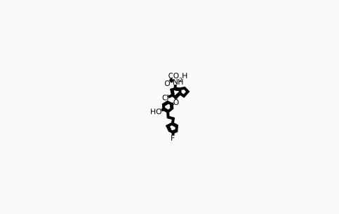 O=C(O)C(=O)Nc1cc(Cl)c(Oc2ccc(O)c(CCc3ccc(F)cc3)c2)c2c1CCC2